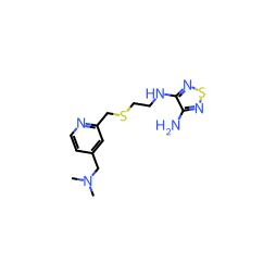 CN(C)Cc1ccnc(CSCCNc2nsnc2N)c1